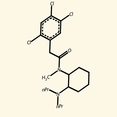 CCCN(CCC)C1CCCCC1N(C)C(=O)Cc1cc(Cl)c(Cl)cc1Cl